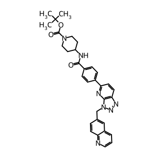 CC(C)(C)OC(=O)N1CCC(NC(=O)c2ccc(-c3ccc4nnn(Cc5ccc6ncccc6c5)c4n3)cc2)CC1